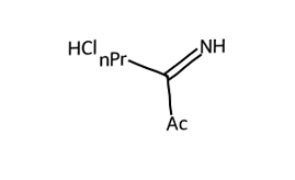 CCCC(=N)C(C)=O.Cl